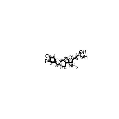 NC(CCCCB(O)O)(C(=O)O)C1CCN(Cc2ccc(Cl)c(F)c2)CC1